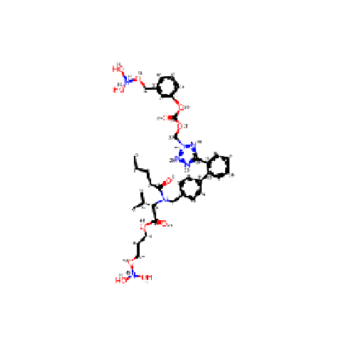 CCCCC(=O)N(Cc1ccc(-c2ccccc2-c2nnn(COC(=O)Oc3cccc(CON(O)O)c3)n2)cc1)[C@H](C(=O)OCCCON(O)O)C(C)C